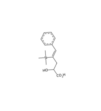 C[Si](C)(C)C(=Cc1ccccc1)CC(O)C(=O)O